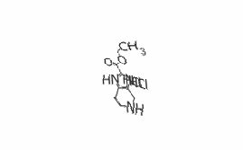 CCOC(=O)c1nc2c([nH]1)CCNC2.Cl.Cl